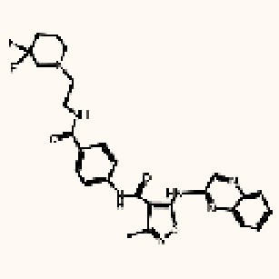 Cc1nsc(Nc2cnc3ccccc3n2)c1C(=O)Nc1ccc(C(=O)NCCN2CCCC(F)(F)C2)cc1